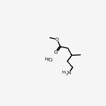 COC(=O)CC(C)CCN.Cl